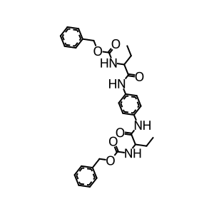 CCC(NC(=O)OCc1ccccc1)C(=O)Nc1ccc(NC(=O)C(CC)NC(=O)OCc2ccccc2)cc1